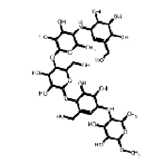 COC1OC(C)C(NC2C=C(CO)C(OC3OC(CO)C(OC4OC(C)C(NC5C=C(CO)C(O)C(O)C5O)C(O)C4O)C(O)C3O)C(O)C2O)C(O)C1O